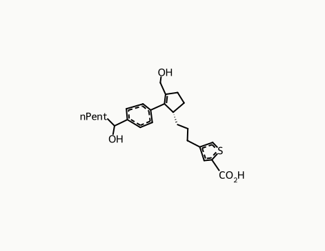 CCCCCC(O)c1ccc(C2=C(CO)CC[C@@H]2CCCc2csc(C(=O)O)c2)cc1